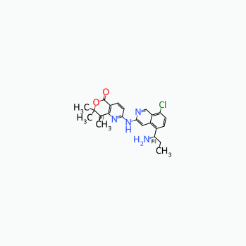 CC[C@@H](N)c1ccc(Cl)c2cnc(Nc3ccc4c(n3)[C@@H](C)C(C)(C)OC4=O)cc12